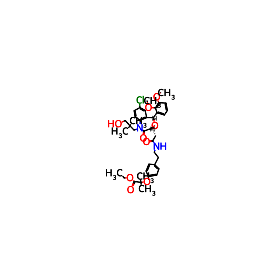 CCOC(=O)C(C)(C)Oc1ccc(CCNC(=O)C[C@H]2O[C@H](c3cccc(OC)c3OC)c3cc(Cl)ccc3N(CC(C)(C)CO)C2=O)cc1